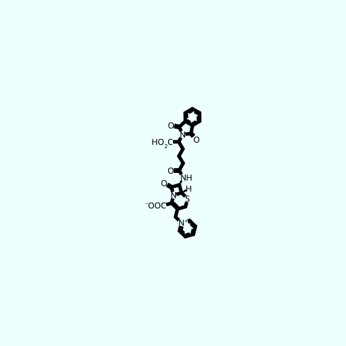 O=C(CCCC(C(=O)O)N1C(=O)c2ccccc2C1=O)N[C@@H]1C(=O)N2C(C(=O)[O-])=C(C[n+]3ccccc3)CS[C@@H]12